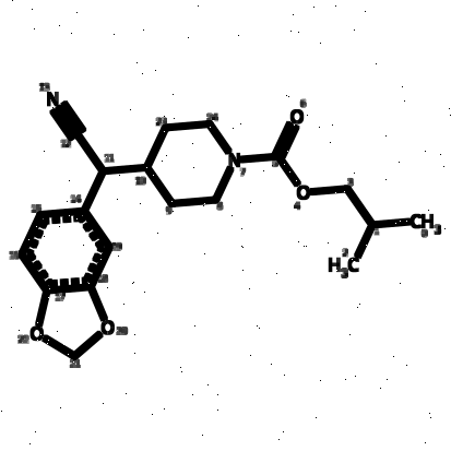 CC(C)COC(=O)N1CCC(C(C#N)c2ccc3c(c2)OCO3)CC1